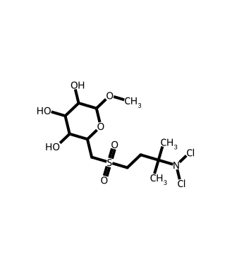 COC1OC(CS(=O)(=O)CCC(C)(C)N(Cl)Cl)C(O)C(O)C1O